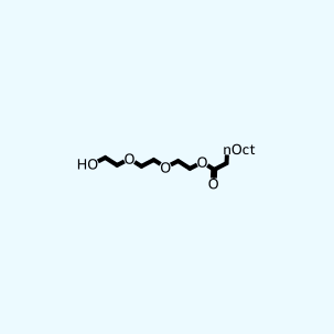 CCCCCCCCCC(=O)OCCOCCOCCO